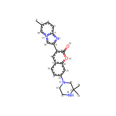 Cc1ccc2nc(-c3cc4ccc(N5CCNC(C)(C)C5)cc4oc3=O)cn2c1